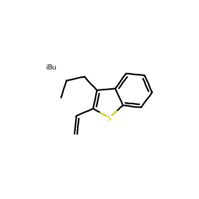 C=Cc1sc2ccccc2c1CC(C)[C@H](C)CC